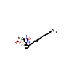 CC#CC#CC#CC#CC#CC#CC#Cc1cccc(C)c1C1NC(=O)NC(C)=C1CCOC=O